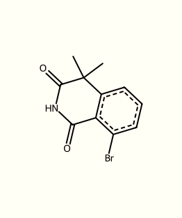 CC1(C)C(=O)NC(=O)c2c(Br)cccc21